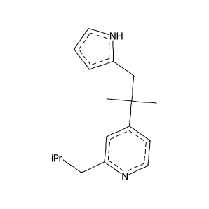 CC(C)Cc1cc(C(C)(C)Cc2ccc[nH]2)ccn1